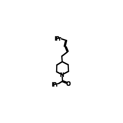 CC(C)C=C=CCC1CCN(C(=O)C(C)C)CC1